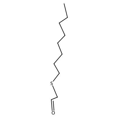 CCCCCCCCSCC=O